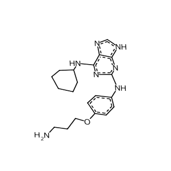 NCCCOc1ccc(Nc2nc(NC3CCCCC3)c3nc[nH]c3n2)cc1